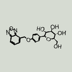 OC[C@H]1OC(c2ccc(OCc3cccc4nonc34)cc2)[C@@H](O)[C@@H](O)[C@@H]1O